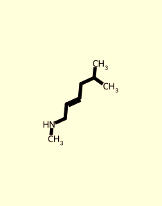 CNC/C=C/CC(C)C